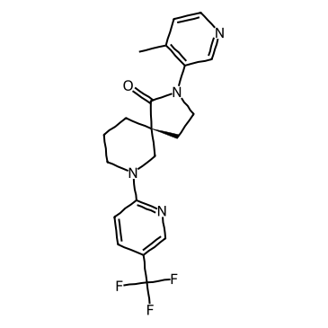 Cc1ccncc1N1CC[C@@]2(CCCN(c3ccc(C(F)(F)F)cn3)C2)C1=O